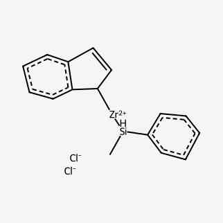 C[SiH]([Zr+2][CH]1C=Cc2ccccc21)c1ccccc1.[Cl-].[Cl-]